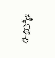 CC(=N)Nc1ccc2sc(-c3ccco3)nc2c1